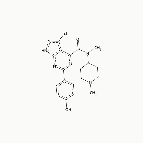 CCc1n[nH]c2nc(-c3ccc(O)cc3)cc(C(=O)N(C)C3CCN(C)CC3)c12